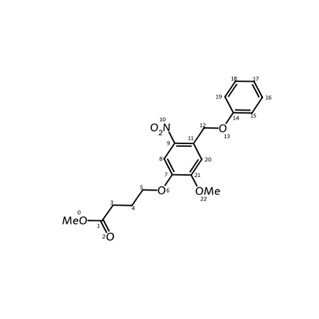 COC(=O)CCCOc1cc([N+](=O)[O-])c(COc2ccccc2)cc1OC